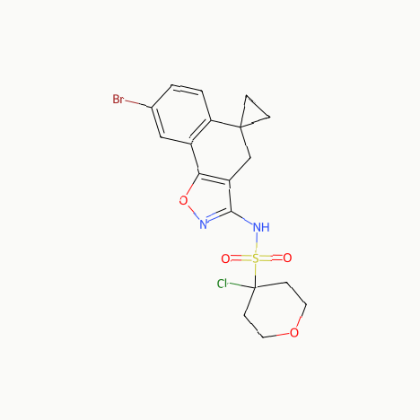 O=S(=O)(Nc1noc2c1CC1(CC1)c1ccc(Br)cc1-2)C1(Cl)CCOCC1